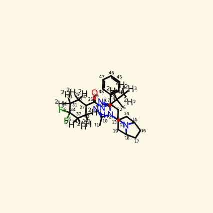 [2H]C([2H])([2H])C([2H])(C)c1nnc(C)n1C1CC2CCC(C1)N2CCC(NC(=O)C1C([2H])([2H])C([2H])([2H])C(F)(F)C([2H])([2H])C1([2H])[2H])c1ccccc1